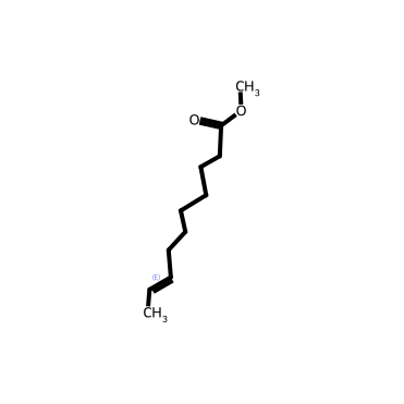 C/C=C/CCCCCCC(=O)OC